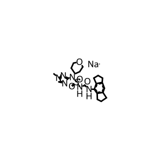 Cn1cnc(N(C2CCOCC2)S(=O)(=O)NC(=O)Nc2c3c(cc4c2CCC4)CCC3)n1.[Na]